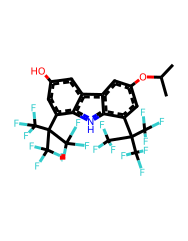 CC(C)Oc1cc(C(C(F)(F)F)(C(F)(F)F)C(F)(F)F)c2[nH]c3c(C(C(F)(F)F)(C(F)(F)F)C(F)(F)F)cc(O)cc3c2c1